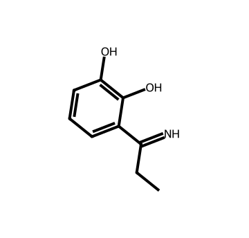 CCC(=N)c1cccc(O)c1O